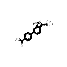 CNc1n[nH]c2cc(-c3ccc(C(=O)O)cc3)ccc12